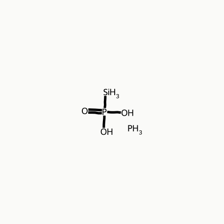 O=P(O)(O)[SiH3].P